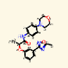 CCCC(Oc1cccc(-c2noc(C)n2)c1)C(=O)Nc1ccc(N2CCOCC2)cc1